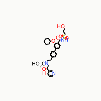 O=C(NS(=O)(=O)CCCO)c1ccc(-c2ccc(CCN(C[C@@H](O)c3cccnc3)C(=O)O)cc2)cc1OC1CCCCC1